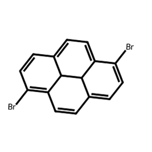 BrC1=CC=C2C=CC3=C(Br)C=CC4=CC=C1C2C43